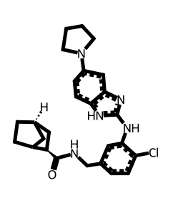 O=C(NCc1ccc(Cl)c(Nc2nc3cc(N4CCCC4)ccc3[nH]2)c1)[C@@H]1C[C@@H]2CCC1C2